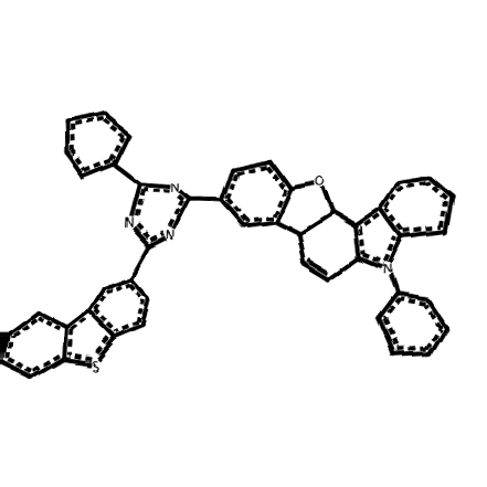 C1=CC2c3cc(-c4nc(-c5ccccc5)nc(-c5ccc6sc7ccccc7c6c5)n4)ccc3OC2c2c1n(-c1ccccc1)c1ccccc21